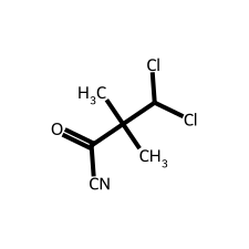 CC(C)(C(=O)C#N)C(Cl)Cl